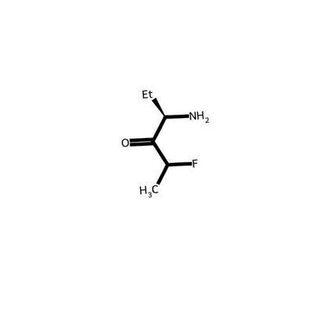 CC[C@@H](N)C(=O)C(C)F